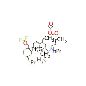 C=C\C=C(/C(=C/C(=C\C)c1ccc(C2(COC(F)F)CCC/C(=C/C(C)C)CC2)cc1)C(=C)C)N(CCC)CCC(=C)CC(=O)OC1COC1